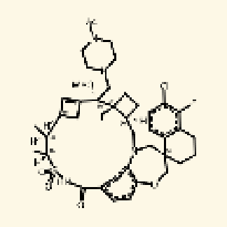 CO[C@@]1(CN2CCN(C(C)=O)CC2)C2=C[C@@H](C2)[C@H](C)[C@@H](C)S(=O)(=O)NC(=O)c2ccc3c(c2)N(C[C@@H]2CC[C@H]21)C[C@@]1(CCCc2c1ccc(Cl)c2F)CO3